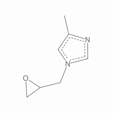 Cc1cn(CC2CO2)cn1